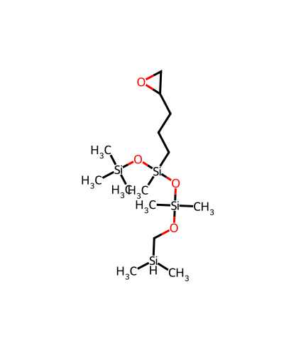 C[SiH](C)CO[Si](C)(C)O[Si](C)(CCCC1CO1)O[Si](C)(C)C